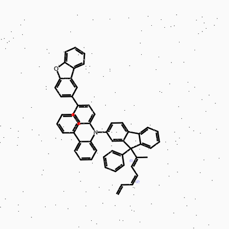 C=C/C=C\C=C(/C)C1(c2ccccc2)c2ccccc2-c2ccc(N(c3ccc(-c4ccc5oc6ccccc6c5c4)cc3)c3ccccc3-c3ccccc3)cc21